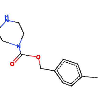 Cc1ccc(COC(=O)N2CCNCC2)cc1